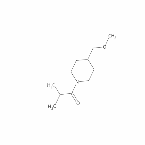 COCC1CCN(C(=O)C(C)C)CC1